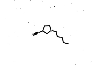 CCCCCN1CCC(C#N)C1